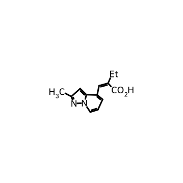 CCC(=Cc1cccn2nc(C)cc12)C(=O)O